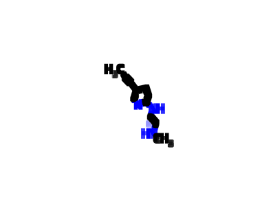 CC#Cc1ccc(N/C=C/NC)nc1